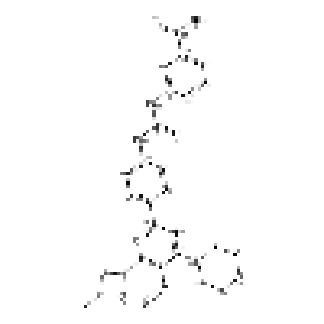 CCOc1c(C2OC(C)O2)nc(-c2ccc(NC(=O)Nc3cccc(C(N)=O)c3)cc2)nc1N1CCOCC1